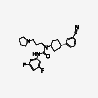 N#Cc1cccc([C@H]2CC[C@H](N(CCCN3CCCC3)C(=O)Nc3cc(F)cc(F)c3)CC2)c1